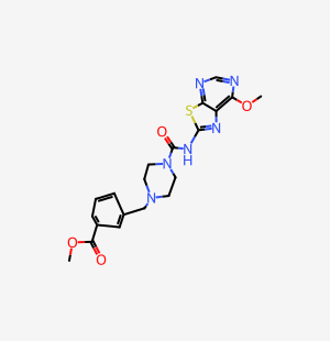 COC(=O)c1cccc(CN2CCN(C(=O)Nc3nc4c(OC)ncnc4s3)CC2)c1